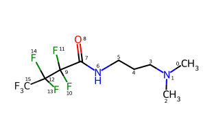 CN(C)CCCNC(=O)C(F)(F)C(F)(F)C(F)(F)F